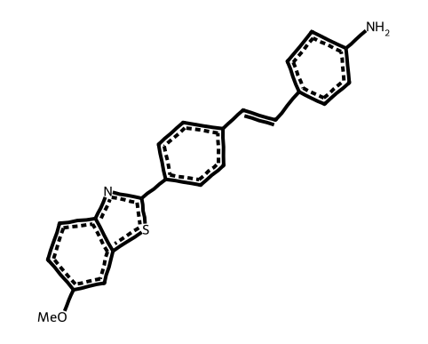 COc1ccc2nc(-c3ccc(C=Cc4ccc(N)cc4)cc3)sc2c1